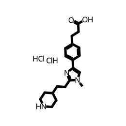 Cl.Cl.Cn1cc(-c2ccc(CCC(=O)O)cc2)nc1CCC1CCNCC1